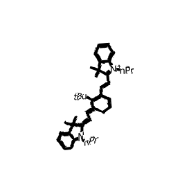 CCCN1/C(=C/C=C2\CCCC(/C=C/C3=[N+](CCC)c4ccccc4C3(C)C)=C2C(C)(C)C)C(C)(C)c2ccccc21